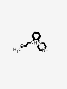 COCCNc1ccccc1N1CCNCC1